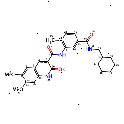 COc1cc2cc(C(=O)Nc3cc(C(=O)NCC4CCCCC4)ccc3C)c(=O)[nH]c2cc1OC